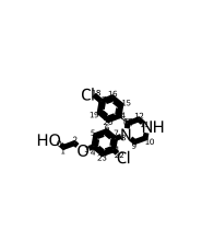 OCCOc1ccc(N2CCNC[C@H]2c2ccc(Cl)cc2)c(Cl)c1